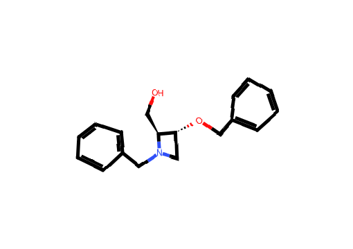 OC[C@H]1[C@H](OCc2ccccc2)CN1Cc1ccccc1